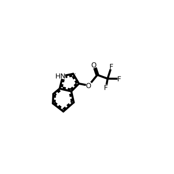 O=C(Oc1[c][nH]c2ccccc12)C(F)(F)F